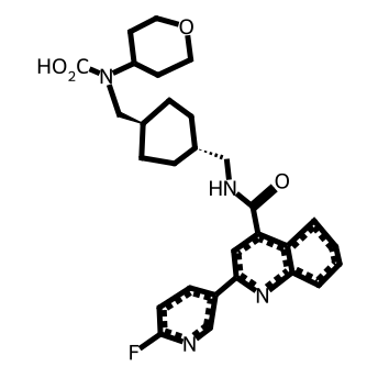 O=C(NC[C@H]1CC[C@H](CN(C(=O)O)C2CCOCC2)CC1)c1cc(-c2ccc(F)nc2)nc2ccccc12